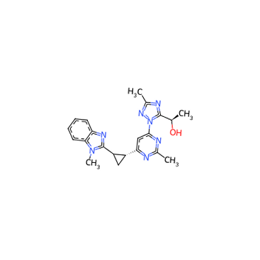 Cc1nc([C@@H]2CC2c2nc3ccccc3n2C)cc(-n2nc(C)nc2[C@@H](C)O)n1